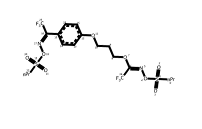 CCCS(=O)(=O)O/N=C(/OCCCOc1ccc(/C(=N\OS(=O)(=O)CCC)C(F)(F)F)cc1)C(F)(F)F